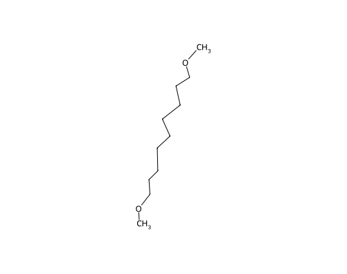 COCCCCCCCCCOC